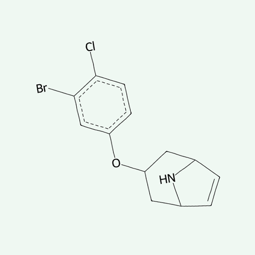 Clc1ccc(OC2CC3C=CC(C2)N3)cc1Br